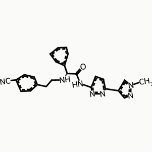 Cn1cc(-c2ccc(NC(=O)[C@H](NCCc3ccc(C#N)cc3)c3ccccc3)nn2)cn1